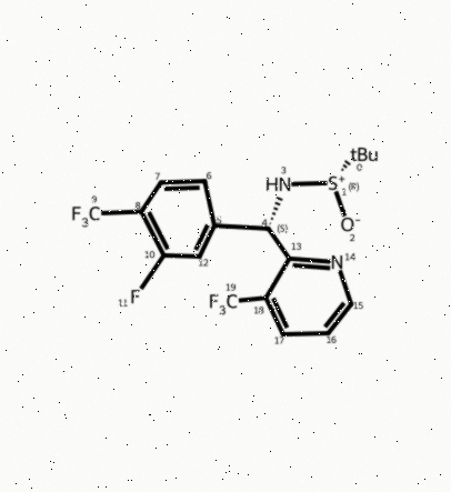 CC(C)(C)[S@+]([O-])N[C@@H](c1ccc(C(F)(F)F)c(F)c1)c1ncccc1C(F)(F)F